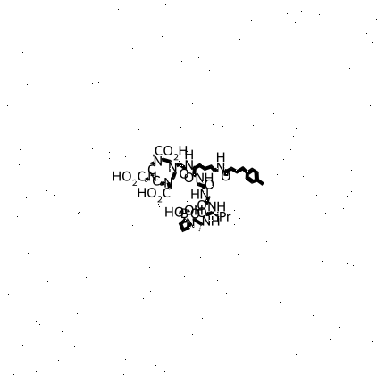 Cc1ccc(CCCC(=O)NCCCCC(NC(=O)CN2CCN(CC(=O)O)CCN(CC(=O)O)CCN(CC(=O)O)CC2)C(=O)NCC(=O)NCC(=O)N[C@H](C(=O)N[C@H](C)C(=O)N2CCC[C@H]2B(O)O)C(C)C)cc1